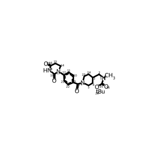 CN(CC1CCN(C(=O)c2ccc(N3CCC(=O)NC3=O)cc2)CC1)C(=O)OC(C)(C)C